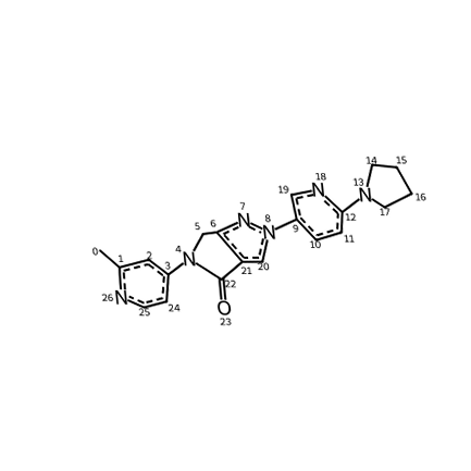 Cc1cc(N2Cc3nn(-c4ccc(N5CCCC5)nc4)cc3C2=O)ccn1